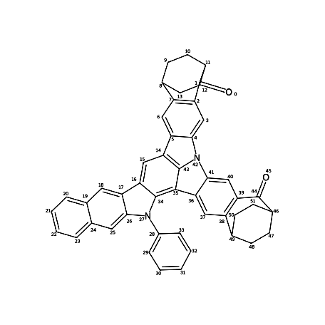 O=C1c2cc3c(cc2C2CCC1CC2)c1cc2c4cc5ccccc5cc4n(-c4ccccc4)c2c2c4cc5c(cc4n3c12)C(=O)C1CCC5CC1